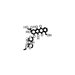 CCO[C@H]1OCCN2[C@@H]1O[C@@H]1[C@H](C)O[C@@H](O[C@H]3C[C@](O)(C(=O)CO)Cc4c(O)c5c(c(O)c43)C(=O)c3c(CO)cccc3C5=O)C[C@@H]12